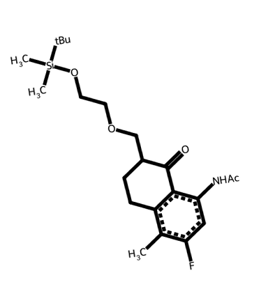 CC(=O)Nc1cc(F)c(C)c2c1C(=O)C(COCCO[Si](C)(C)C(C)(C)C)CC2